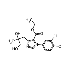 CCOC(=O)c1c(CC(C)(O)CO)ncn1-c1ccc(Cl)c(Cl)c1